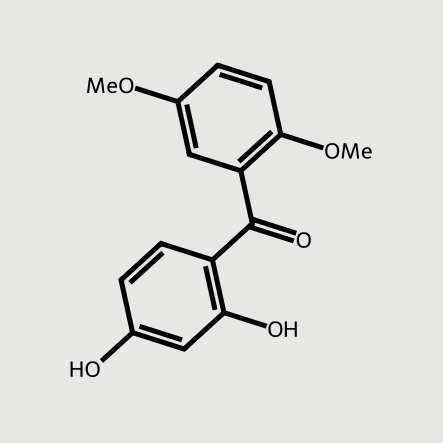 COc1ccc(OC)c(C(=O)c2ccc(O)cc2O)c1